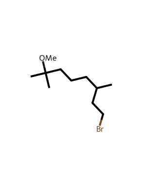 COC(C)(C)CCCC(C)CCBr